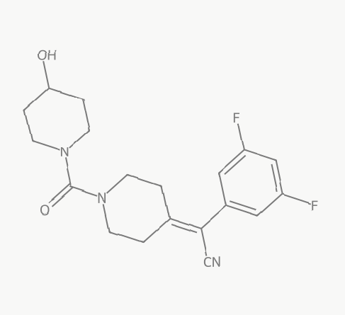 N#CC(=C1CCN(C(=O)N2CCC(O)CC2)CC1)c1cc(F)cc(F)c1